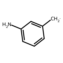 [CH2]c1cccc(N)c1